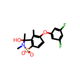 Cc1c(Oc2cc(F)cc(F)c2)ccc2c1C(C)(O)N(C)S2(=O)=O